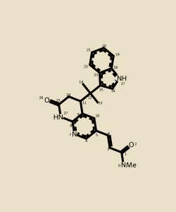 CNC(=O)C=Cc1cnc2c(c1)C(C(C)(C)c1c[nH]c3ccccc13)CC(=O)N2